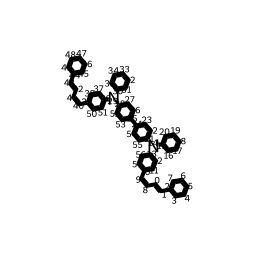 C(=Cc1ccccc1)/C=C\c1ccc(N(c2ccccc2)c2ccc(-c3ccc(N(c4ccccc4)c4ccc(/C=C\C=Cc5ccccc5)cc4)cc3)cc2)cc1